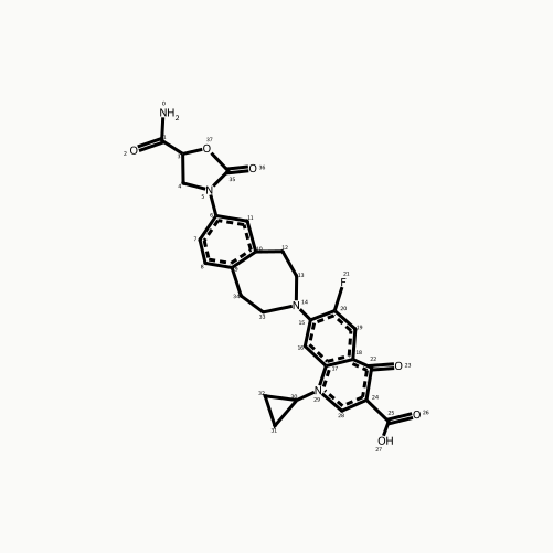 NC(=O)C1CN(c2ccc3c(c2)CCN(c2cc4c(cc2F)c(=O)c(C(=O)O)cn4C2CC2)CC3)C(=O)O1